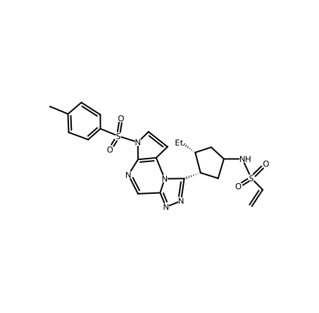 C=CS(=O)(=O)NC1C[C@@H](CC)[C@@H](c2nnc3cnc4c(ccn4S(=O)(=O)c4ccc(C)cc4)n23)C1